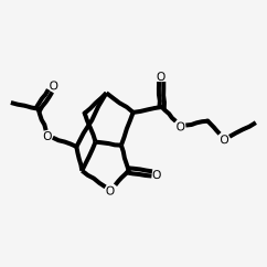 COCOC(=O)C1C2CC3C(OC(=O)C31)C2OC(C)=O